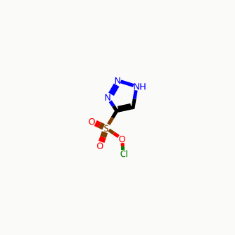 O=S(=O)(OCl)c1c[nH]nn1